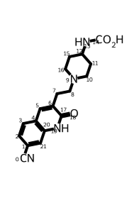 N#Cc1ccc2cc(CCN3CCC(NC(=O)O)CC3)c(=O)[nH]c2c1